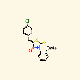 COc1ccccc1N1C(=O)/C(=C/c2ccc(Cl)cc2)SC1=S